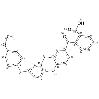 COc1ccc(Cc2ccc3c(c2)Cc2cc(C(=O)c4ccccc4C(=O)O)ccc2O3)cc1